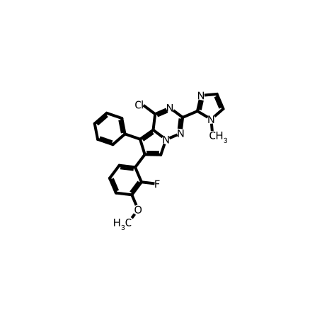 COc1cccc(-c2cn3nc(-c4nccn4C)nc(Cl)c3c2-c2ccccc2)c1F